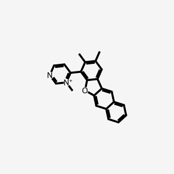 Cc1cc2c(oc3cc4ccccc4cc32)c(-c2ccnc[n+]2C)c1C